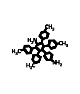 Cc1ccc(-c2c(N)c(-c3ccc(C)cc3)c(-c3ccc(C)cc3)c(-c3ccc(N)cc3)c2-c2ccc(C)cc2)cc1